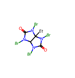 CCC12C(N(Br)C(=O)N1Br)N(Br)C(=O)N2Br